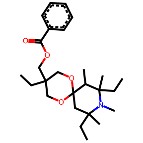 CCC1(COC(=O)c2ccccc2)COC2(CC(C)(CC)N(C)C(C)(CC)C2C)OC1